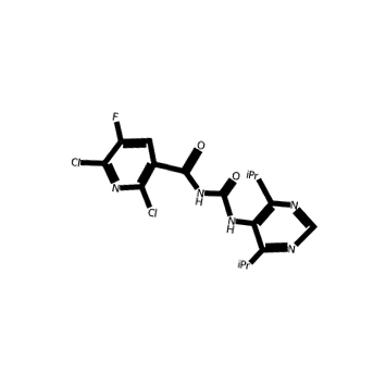 CC(C)c1ncnc(C(C)C)c1NC(=O)NC(=O)c1cc(F)c(Cl)nc1Cl